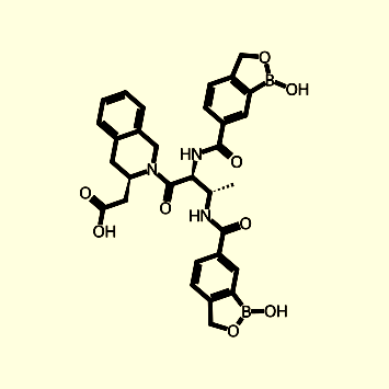 C[C@H](NC(=O)c1ccc2c(c1)B(O)OC2)[C@H](NC(=O)c1ccc2c(c1)B(O)OC2)C(=O)N1Cc2ccccc2C[C@@H]1CC(=O)O